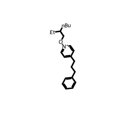 CCCCC(CC)CO[n+]1ccc(CCCc2ccccc2)cc1